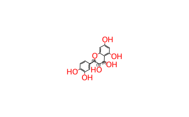 Oc1cc(O)c2c(c1)O[C@H](c1ccc(O)c(O)c1)[C@@H](O)[C@@H]2O